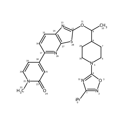 CC(C)c1noc(N2CCC(C(C)Oc3nc4ccc(-c5ccn(C)c(=O)c5)nc4s3)CC2)n1